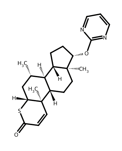 C[C@H]1C[C@H]2SC(=O)C=C[C@]2(C)[C@H]2CC[C@]3(C)[C@@H](Oc4ncccn4)CC[C@H]3[C@H]12